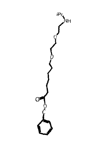 CC(C)NCCOCCOCCCCCCC(=O)OCc1ccccc1